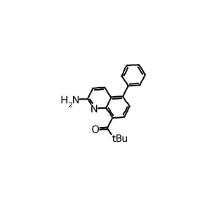 CC(C)(C)C(=O)c1ccc(-c2ccccc2)c2ccc(N)nc12